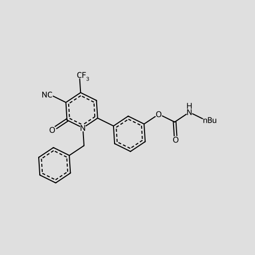 CCCCNC(=O)Oc1cccc(-c2cc(C(F)(F)F)c(C#N)c(=O)n2Cc2ccccc2)c1